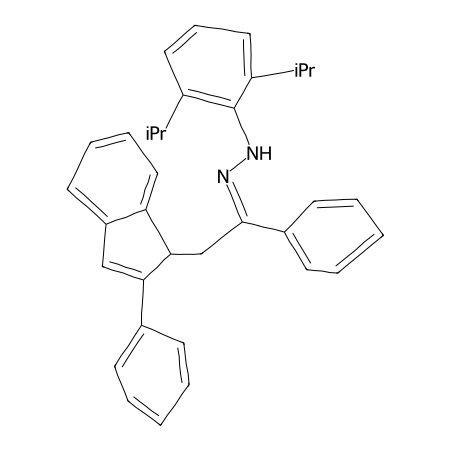 CC(C)c1cccc(C(C)C)c1NN=C(CC1C(c2ccccc2)=Cc2ccccc21)c1ccccc1